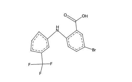 O=C(O)c1cc(Br)ccc1Nc1cccc(C(F)(F)F)c1